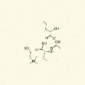 CC(=O)O.CCC(O)C(=O)O.CCCC(O)C(=O)[O-].C[N+](C)(C)CCO